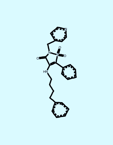 O=C1C(NCCCCc2ccccc2)=C(c2ccccc2)S(=O)(=O)N1Cc1ccncc1